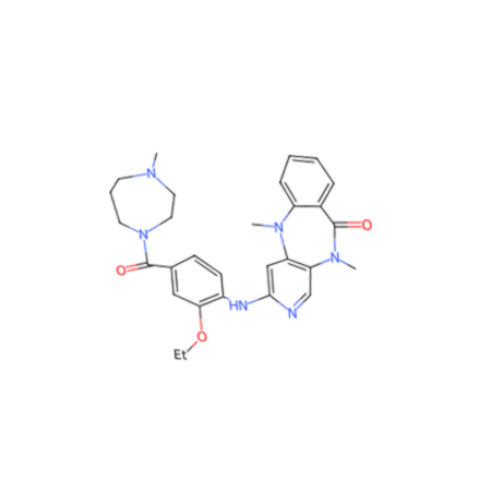 CCOc1cc(C(=O)N2CCCN(C)CC2)ccc1Nc1cc2c(cn1)N(C)C(=O)c1ccccc1N2C